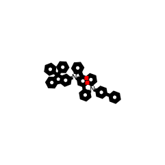 c1ccc(-c2ccc(N(c3ccccc3)c3ccccc3-c3ccc4c5ccccc5n(-c5ccc6c(c5)C(c5ccccc5)(c5ccccc5)c5ccccc5-6)c4c3)cc2)cc1